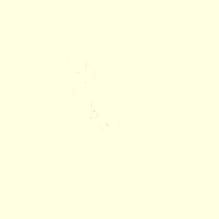 FC(F)(F)C(F)(F)C[O][Zn][O][Si](c1ccccc1)(c1ccccc1)c1ccccc1